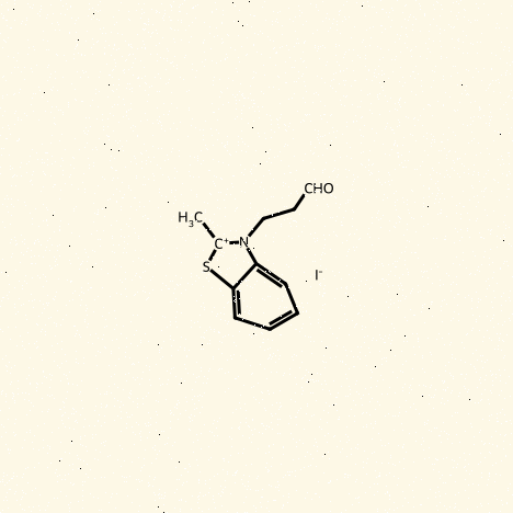 C[c+]1sc2ccccc2n1CCC=O.[I-]